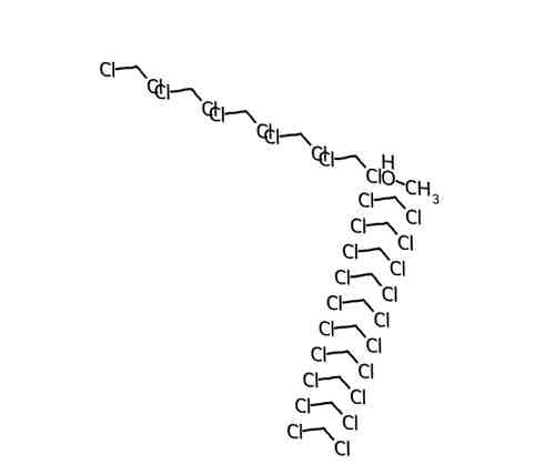 CO.ClCCl.ClCCl.ClCCl.ClCCl.ClCCl.ClCCl.ClCCl.ClCCl.ClCCl.ClCCl.ClCCl.ClCCl.ClCCl.ClCCl.ClCCl